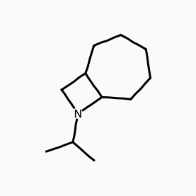 CC(C)N1CC2CCCCCC21